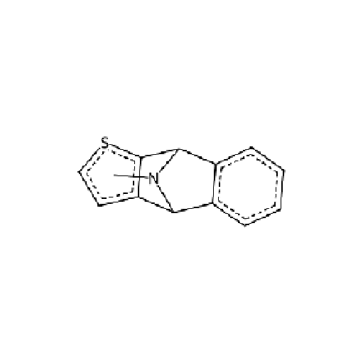 CN1C2c3ccccc3C1c1sccc12